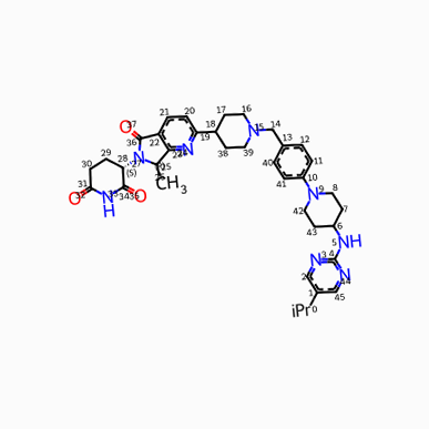 CC(C)c1cnc(NC2CCN(c3ccc(CN4CCC(c5ccc6c(n5)[C@@H](C)N([C@H]5CCC(=O)NC5=O)C6=O)CC4)cc3)CC2)nc1